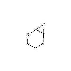 C1COC2OC2C1